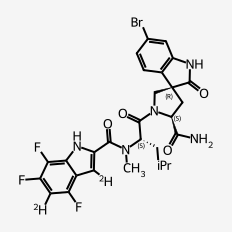 [2H]c1c(F)c(F)c2[nH]c(C(=O)N(C)[C@@H](CC(C)C)C(=O)N3C[C@]4(C[C@H]3C(N)=O)C(=O)Nc3cc(Br)ccc34)c([2H])c2c1F